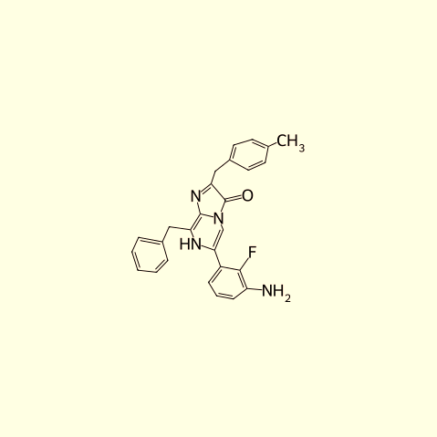 Cc1ccc(Cc2nc3c(Cc4ccccc4)[nH]c(-c4cccc(N)c4F)cn-3c2=O)cc1